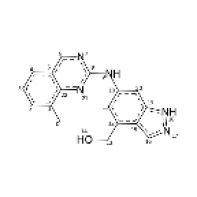 Cc1cccc2cnc(Nc3cc(CO)c4cn[nH]c4c3)nc12